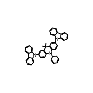 CC1(C)c2cc(-n3c4ccccc4c4ccccc43)ccc2N(C2C=CC=CC2)c2ccc(-n3c4ccccc4c4ccccc43)cc21